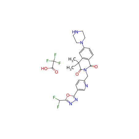 CC1(C)C(=O)N(Cc2ccc(-c3nnc(C(F)F)o3)cn2)C(=O)c2ccc(N3CCNCC3)cc21.O=C(O)C(F)(F)F